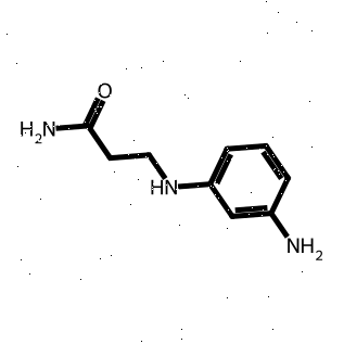 NC(=O)CCNc1cccc(N)c1